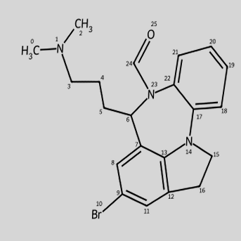 CN(C)CCCC1c2cc(Br)cc3c2N(CC3)c2ccccc2N1C=O